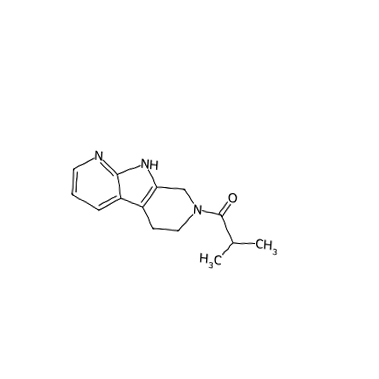 CC(C)C(=O)N1CCc2c([nH]c3ncccc23)C1